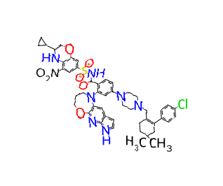 CC1(C)CCC(CN2CCN(c3ccc(C(=O)NS(=O)(=O)c4cc5c(c([N+](=O)[O-])c4)NC(C4CC4)CO5)c(N4CCCOc5nc6[nH]ccc6cc54)c3)CC2)=C(c2ccc(Cl)cc2)C1